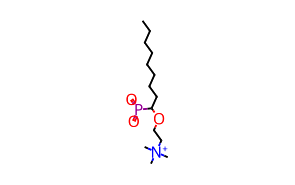 CCCCCCCCC(OCC[N+](C)(C)C)P(=O)=O